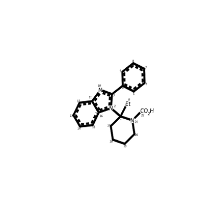 CCC1(n2c(-c3ccccc3)nc3ccccc32)CCCCN1C(=O)O